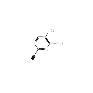 C#Cc1ncc(C#N)c(N)n1